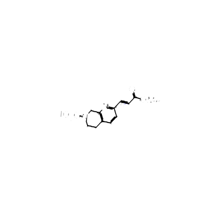 COC(=O)/C=C/c1ccc2c(n1)CN(C(=O)O)CC2